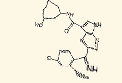 CNc1cc(Cl)ccc1C(=N)c1cnc2[nH]cc(C(=O)NC3CCCC(O)C3)c2n1